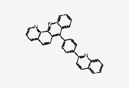 c1ccc2nc(-c3ccc(-c4c5ccccc5nc5c4ccc4cccnc45)cc3)ccc2c1